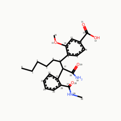 CCCCCC(c1ccc(C(=O)O)cc1OC)C(C(N)=O)c1ccccc1C(=O)NC